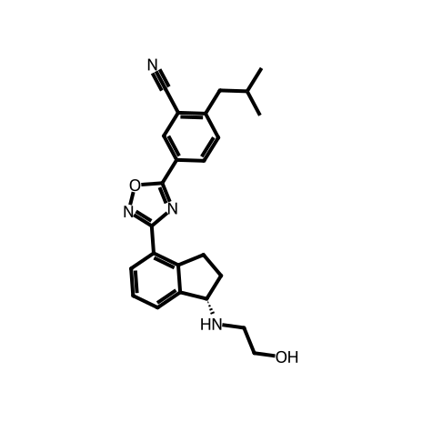 CC(C)Cc1ccc(-c2nc(-c3cccc4c3CC[C@@H]4NCCO)no2)cc1C#N